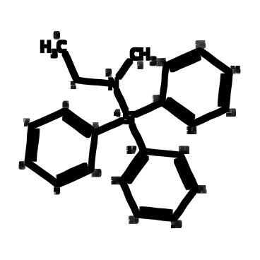 CCN(C)[Si](c1ccccc1)(c1ccccc1)c1ccccc1